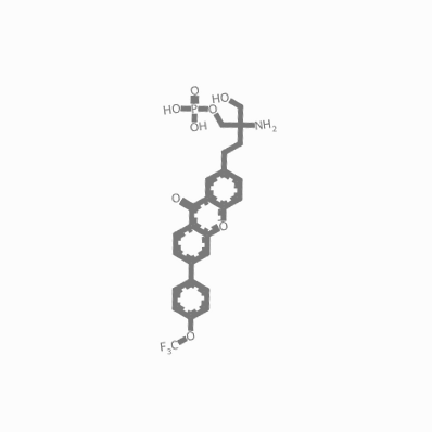 NC(CO)(CCc1ccc2oc3cc(-c4ccc(OC(F)(F)F)cc4)ccc3c(=O)c2c1)COP(=O)(O)O